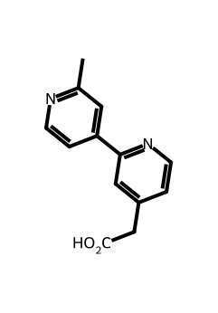 Cc1cc(-c2cc(CC(=O)O)ccn2)ccn1